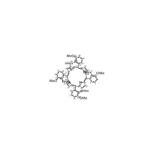 CCCCCC[n+]1c(OC)cccc1C1=C2C=CC(=N2)C(c2cccc(OC)[n+]2CCCCCC)=C2C=CC(=N2)C(c2cccc(OC)[n+]2CCCCCC)=C2C=CC(=N2)C(c2cccc(OC)[n+]2CCCCCC)=C2C=CC1=N2